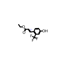 CCOC(=O)/C=C/c1ccc(O)cc1C(F)(F)F